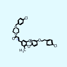 Cc1cc(/C=C/C(=O)N2CCN(Cc3ccc(Cl)cc3)CC2)cc(Cl)c1Oc1ccc(OCCc2ccc(Cl)cc2)cn1